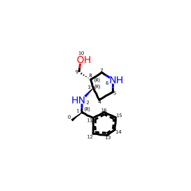 C[C@@H](N[C@@H]1CCNC[C@H]1CO)c1ccccc1